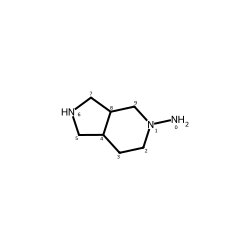 NN1CCC2CNCC2C1